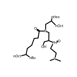 CCCCCCCCC(CCCC)CCCCC(=O)N(CC(CCCCCC)CCCCCCCC)CC(CO)[PH](=O)CCN(C)C